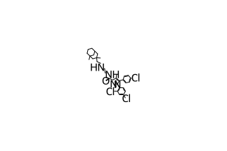 Cc1c(C(=O)NCCNCCC2(C)CC3CCCC(C)(C3)C2)nn(-c2ccc(Cl)cc2Cl)c1-c1ccc(Cl)cc1